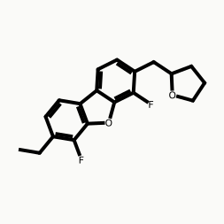 CCc1ccc2c(oc3c(F)c(CC4CCCO4)ccc32)c1F